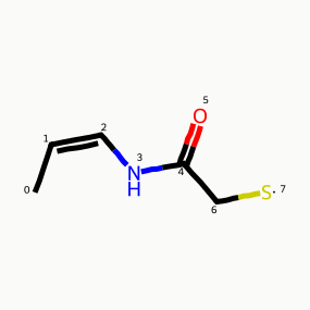 C/C=C\NC(=O)C[S]